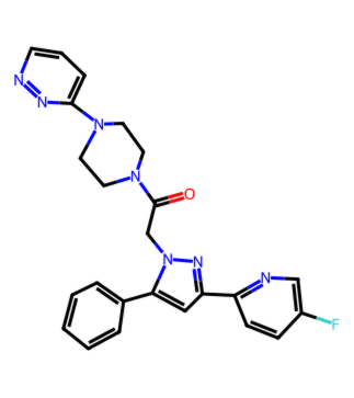 O=C(Cn1nc(-c2ccc(F)cn2)cc1-c1ccccc1)N1CCN(c2cccnn2)CC1